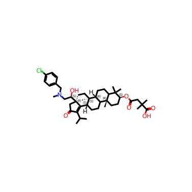 CC(C)C1=C2[C@H]3CCC4[C@@H](CCC5C(C)(C)[C@@H](OC(=O)CC(C)(C)C(=O)O)CC[C@]45C)[C@]3(C)CC[C@@]2([C@H](O)CN(C)Cc2ccc(Cl)cc2)CC1=O